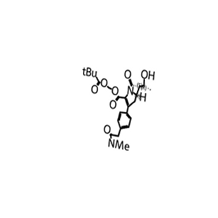 CNC(=O)Cc1ccc(C2=C(C(=O)OCOC(=O)C(C)(C)C)N3C(=O)[C@H]([C@@H](C)O)[C@H]3C2)cc1